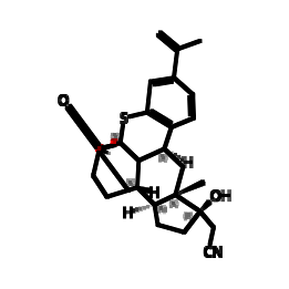 C=C(C)c1ccc2c(c1)S[C@]13CCC(=O)C=C1CC[C@@H]1C3[C@@H]2C[C@@]2(C)[C@H]1CC[C@@]2(O)CC#N